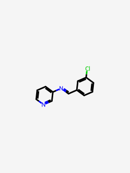 Clc1cccc(C=Nc2cccnc2)c1